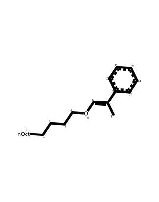 CCCCCCCCCCCCO/C=C(\C)c1ccccc1